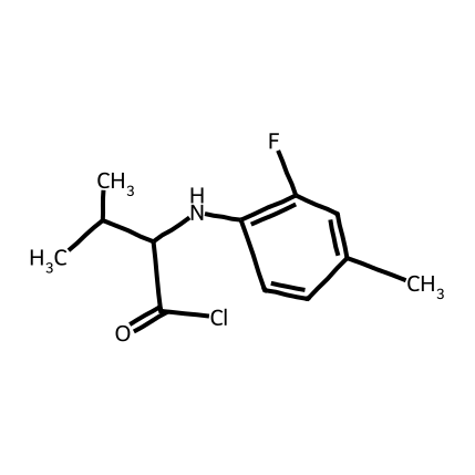 Cc1ccc(NC(C(=O)Cl)C(C)C)c(F)c1